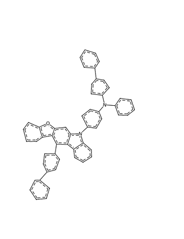 c1ccc(-c2ccc(-c3c4c(cc5c3c3ccccc3n5-c3ccc(N(c5ccccc5)c5ccc(-c6ccccc6)cc5)cc3)oc3ccccc34)cc2)cc1